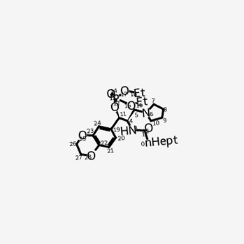 CCCCCCCC(=O)N[C@H](CN1CCCC1)[C@H](OP(=O)(OCC)OCC)c1ccc2c(c1)OCCO2